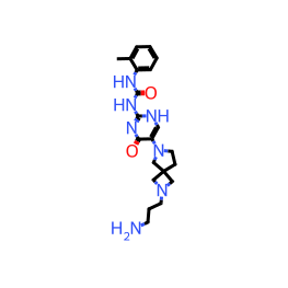 Cc1ccccc1NC(=O)Nc1nc(=O)c(N2CCC3(CN(CCCN)C3)C2)c[nH]1